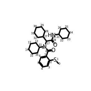 CSc1ccccc1C(=O)N(C1CCCCC1)C(C(=O)NC1CCCCC1)C1CCCCC1